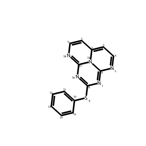 C1=CC2=CC=NC3=NC(Sc4ccccc4)=NC(=N1)N23